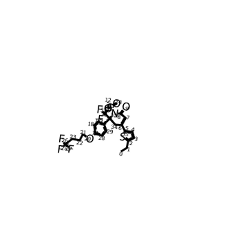 CCc1ccc(C2=CC(=O)N(S(C)(=O)=O)C(c3ccc(OCCCC(F)(F)F)cc3)(C(F)(F)F)C2)s1